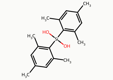 Cc1cc(C)c([Si](O)(O)c2c(C)cc(C)cc2C)c(C)c1